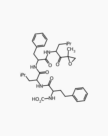 CC(C)CC(NC(=O)C(CCc1ccccc1)NC(=O)O)C(=O)NC(Cc1ccccc1)C(=O)NC(CC(C)C)C(=O)C1(C)CO1